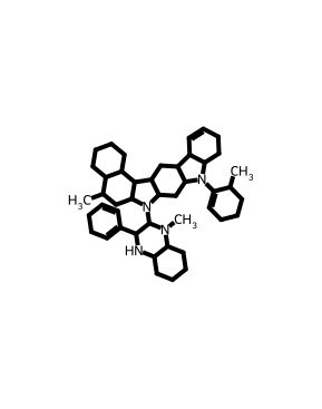 CC1CCCC=C1N1C2CCC=CC2C2CC3C4C5CCCCC5C(C)CC4N(C4C(C5=CCCC=C5)NC5CCCCC5N4C)C3CC21